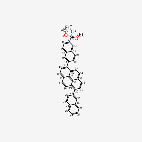 CCO[Si](OCC)(OCC)c1ccc2cc(-c3ccc4ccc5c(-c6ccc7ccccc7c6)ccc6ccc3c4c65)ccc2c1